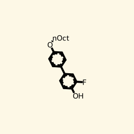 CCCCCCCCOc1ccc(-c2ccc(O)c(F)c2)cc1